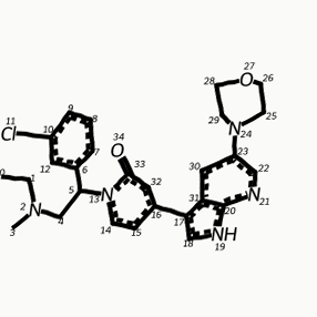 CCN(C)CC(c1cccc(Cl)c1)n1ccc(-c2c[nH]c3ncc(N4CCOCC4)cc23)cc1=O